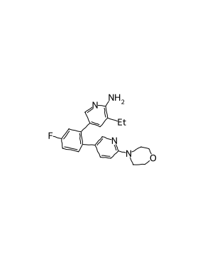 CCc1cc(-c2cc(F)ccc2-c2ccc(N3CCOCC3)nc2)cnc1N